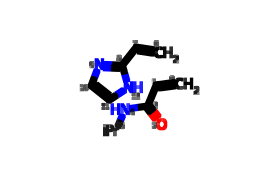 C=CC(=O)NC(C)C.C=Cc1ncc[nH]1